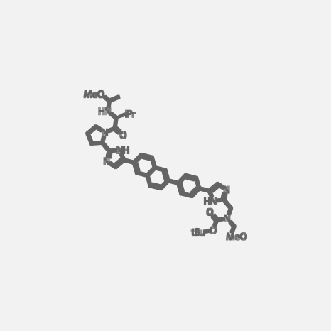 COCN(Cc1ncc(-c2ccc(C3=CC4C=CC(c5cnc(C6CCCN6C(=O)[C@@H](NC(C)OC)C(C)C)[nH]5)=CC4C=C3)cc2)[nH]1)C(=O)OC(C)(C)C